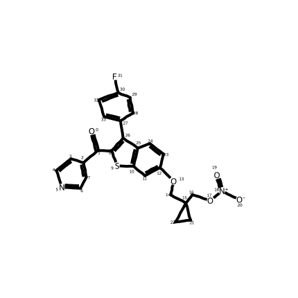 O=C(c1ccncc1)c1sc2cc(OCC3(CO[N+](=O)[O-])CC3)ccc2c1-c1ccc(F)cc1